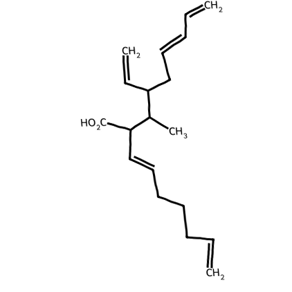 C=CC=CCC(C=C)C(C)C(C=CCCCC=C)C(=O)O